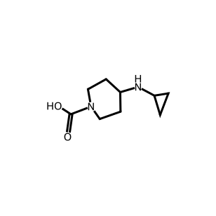 O=C(O)N1CCC(NC2CC2)CC1